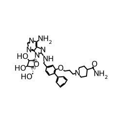 NC(=O)C1CCN(CCCOc2cc(CNc3nc4c(N)ncnc4n3[C@@H]3O[C@H](CO)C(O)C3O)ccc2-c2ccccc2)CC1